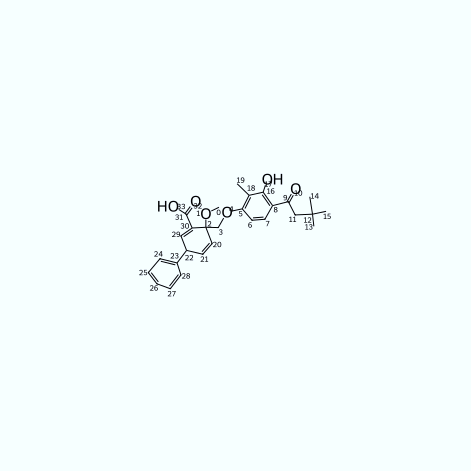 COC1(COc2ccc(C(=O)CC(C)(C)C)c(O)c2C)C=CC(c2ccccc2)C=C1C(=O)O